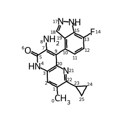 Cc1cc2[nH]c(=O)c(N)c(-c3ccc(F)c4[nH]ncc34)c2nc1C1CC1